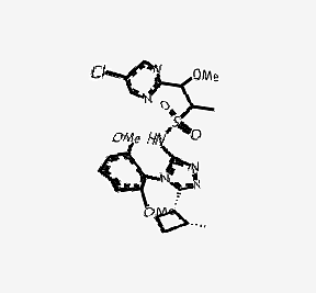 COc1cccc(OC)c1-n1c(NS(=O)(=O)C(C)C(OC)c2ncc(Cl)cn2)nnc1[C@H]1CC[C@H]1C